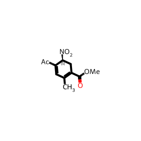 COC(=O)C1=C(C)C=C(C(C)=O)[C@@H]([N+](=O)[O-])C1